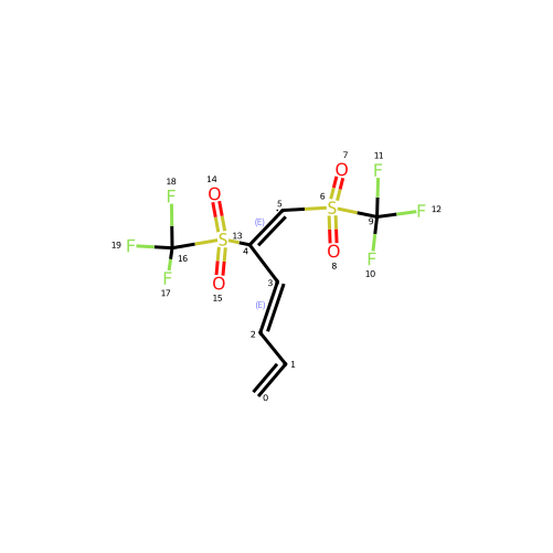 C=C/C=C/C(=[C]\S(=O)(=O)C(F)(F)F)S(=O)(=O)C(F)(F)F